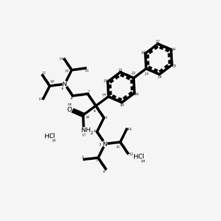 CC(C)N(CCC(CCN(C(C)C)C(C)C)(C(N)=O)c1ccc(-c2ccccc2)cc1)C(C)C.Cl.Cl